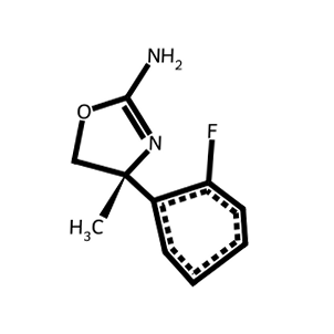 C[C@@]1(c2ccccc2F)COC(N)=N1